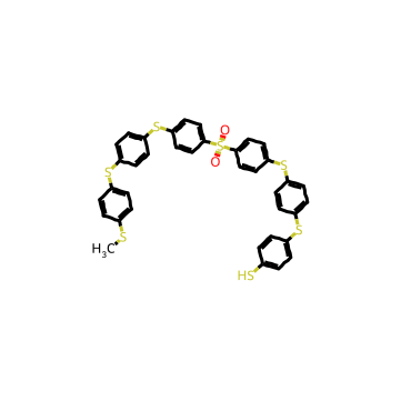 CSc1ccc(Sc2ccc(Sc3ccc(S(=O)(=O)c4ccc(Sc5ccc(Sc6ccc(S)cc6)cc5)cc4)cc3)cc2)cc1